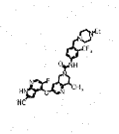 CCN1CCN(Cc2ccc(NC(=O)N3Cc4cc(Oc5c(F)cnc6[nH]c(C#N)cc56)cnc4C(C)C3)cc2C(F)(F)F)CC1